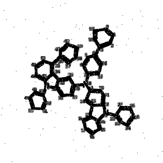 c1ccc(-c2ccc(N(c3ccc4c(c3)c3ccccc3n4-c3ccccc3)c3ccc4c(c3)c3c(-c5ccccc5)cccc3n4-c3ccccc3)cc2)cc1